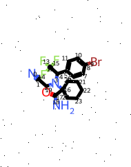 N#CCN(C(c1ccc(Br)cc1)C(F)(F)F)C1(C(N)=O)CCCCC1